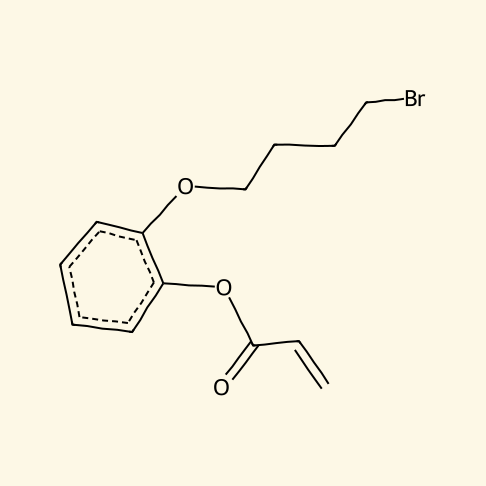 C=CC(=O)Oc1ccccc1OCCCCBr